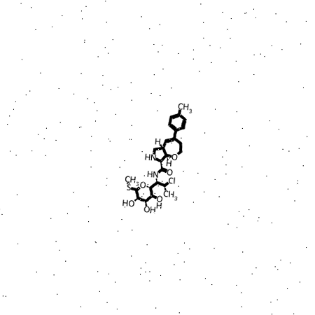 CSC1O[C@H]([C@H](NC(=O)[C@H]2NC[C@@H]3C=C(c4ccc(C)cc4)CCO[C@@H]23)[C@H](C)Cl)C(O)[C@@H](O)[C@H]1O